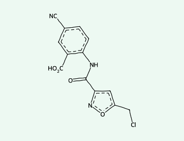 N#Cc1ccc(NC(=O)c2cc(CCl)on2)c(C(=O)O)c1